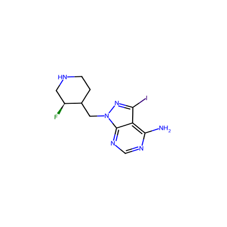 Nc1ncnc2c1c(I)nn2CC1CCNC[C@@H]1F